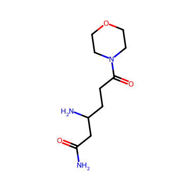 NC(=O)CC(N)CCC(=O)N1CCOCC1